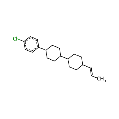 CC=CC1CCC(C2CCC(c3ccc(Cl)cc3)CC2)CC1